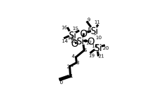 C=C[CH]CCC[Si](O[Si](C)(C)C)(O[Si](C)(C)C)O[Si](C)(C)C